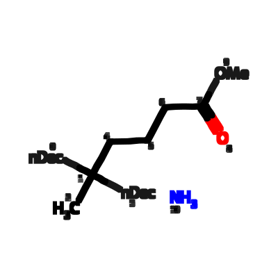 CCCCCCCCCCC(C)(CCCCCCCCCC)CCCC(=O)OC.N